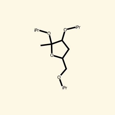 CC(C)OCC1CC(OC(C)C)C(C)(OC(C)C)O1